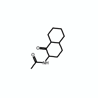 CC(=O)NC1CCC2CCCCC2C1=O